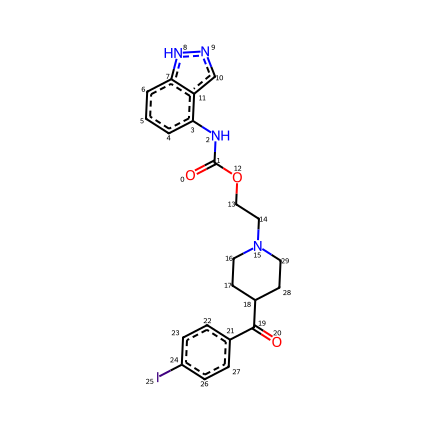 O=C(Nc1cccc2[nH]ncc12)OCCN1CCC(C(=O)c2ccc(I)cc2)CC1